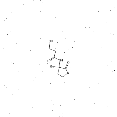 CCC(C)C1(NC(=O)CCO)CC[N]C1=O